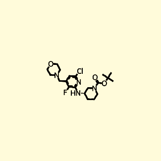 CC(C)(C)OC(=O)N1CCC[C@H](Nc2nc(Cl)cc(CN3CCOCC3)c2F)C1